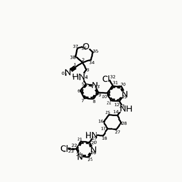 N#CC1(CNc2cccc(-c3cc(NC4CCC(CNc5cc(Cl)ncn5)CC4)ncc3Cl)n2)CCOCC1